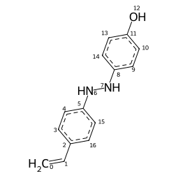 C=Cc1ccc(NNc2ccc(O)cc2)cc1